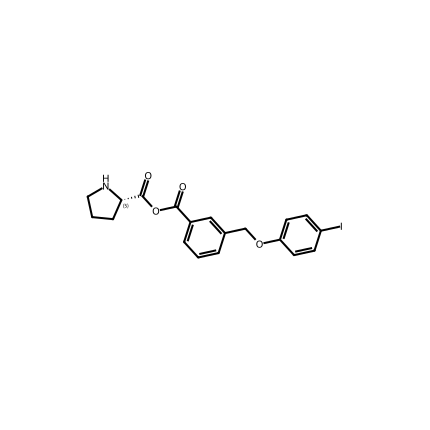 O=C(OC(=O)[C@@H]1CCCN1)c1cccc(COc2ccc(I)cc2)c1